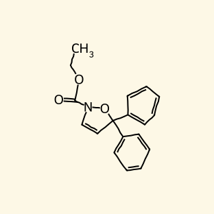 CCOC(=O)N1C=CC(c2ccccc2)(c2ccccc2)O1